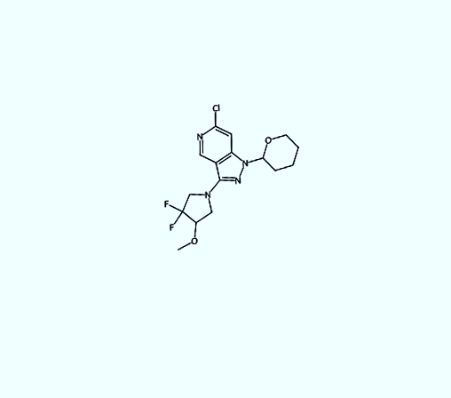 COC1CN(c2nn(C3CCCCO3)c3cc(Cl)ncc23)CC1(F)F